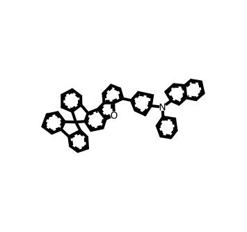 c1ccc(N(c2ccc(-c3cccc4c3oc3ccc5c(c34)-c3ccccc3C53c4ccccc4-c4ccccc43)cc2)c2ccc3ccccc3c2)cc1